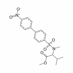 COC(=O)C(C(C)C)N(C)S(=O)(=O)c1ccc(-c2ccc([N+](=O)[O-])cc2)cc1